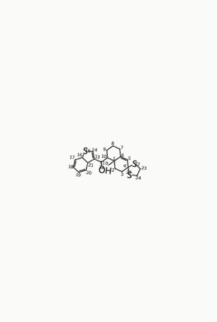 CC12CCC3(C=C1CCCC2C(O)C1=CSC2C=CC=CC12)SCCS3